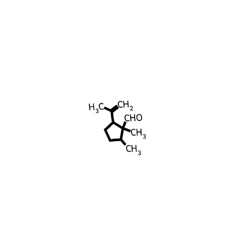 C=C(C)C1CCC(C)C1(C)C=O